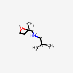 CC(C)CNC[C@]1(C)CCO1